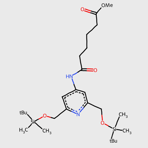 COC(=O)CCCCC(=O)Nc1cc(CO[Si](C)(C)C(C)(C)C)nc(CO[Si](C)(C)C(C)(C)C)c1